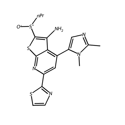 CCC[S+]([O-])c1sc2nc(-c3nccs3)cc(-c3cnc(C)n3C)c2c1N